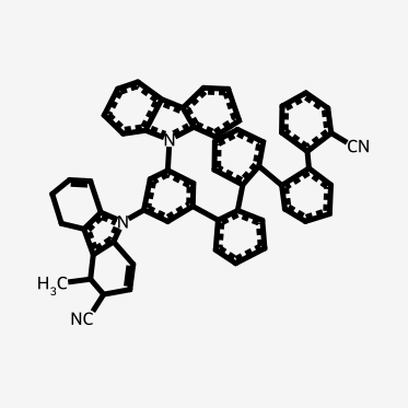 CC1c2c3c(n(-c4cc(-c5ccccc5-c5ccccc5-c5ccccc5-c5ccccc5C#N)cc(-n5c6ccccc6c6ccccc65)c4)c2C=CC1C#N)C=CCC3